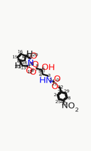 O=C(NCC[C@H](O)C(=O)ON1C(=O)C[C@@H]2C=C[C@H](C2)C1=O)OCc1ccc([N+](=O)[O-])cc1